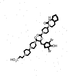 O=C(O)CCN1CCC(N2CCN(C(=O)C(Cc3cc(Br)c(O)c(Br)c3)OC(=O)N3CCC(N4CCc5ccccc5NC4=O)CC3)CC2)CC1